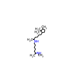 C=C(CCCCCNC(=C)CCCCC1CCC(C)C1(C)C)NC